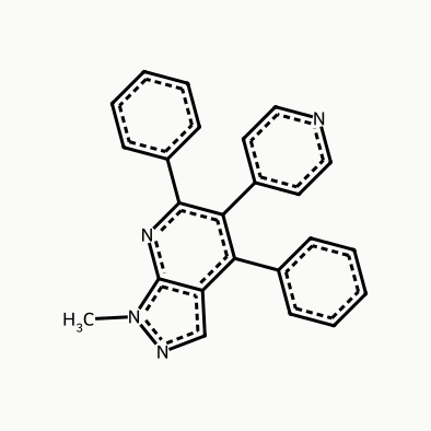 Cn1ncc2c(-c3ccccc3)c(-c3ccncc3)c(-c3ccccc3)nc21